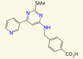 CSc1nc(NCc2ccc(C(=O)O)cc2)cc(-c2cccnc2)n1